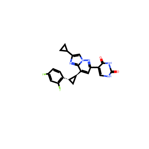 O=c1[nH]cc(-c2cc([C@H]3C[C@@H]3c3ccc(F)cc3F)c3nc(C4CC4)cn3n2)c(=O)[nH]1